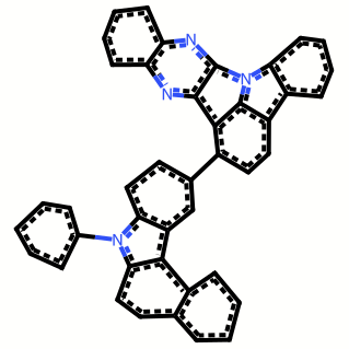 c1ccc(-n2c3ccc(-c4ccc5c6ccccc6n6c7nc8ccccc8nc7c4c56)cc3c3c4ccccc4ccc32)cc1